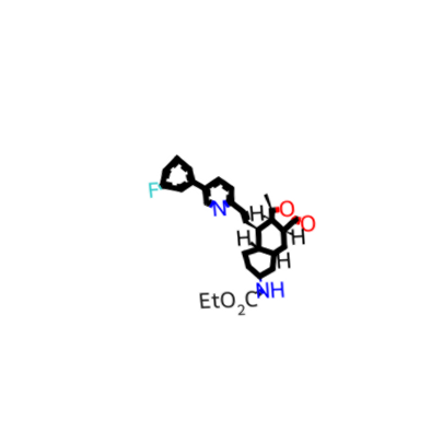 CCOC(=O)N[C@@H]1CC[C@H]2[C@@H](C1)C[C@@H]1C(=O)O[C@H](C)[C@@H]1[C@@H]2/C=C/c1ccc(-c2cccc(F)c2)cn1